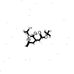 C=C(Br)CC(CC(=O)OC(C)(C)C)C(=O)OC(C)I